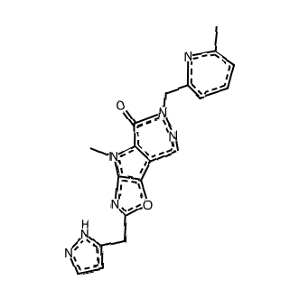 Cc1cccc(Cn2ncc3c4oc(Cc5ccn[nH]5)nc4n(C)c3c2=O)n1